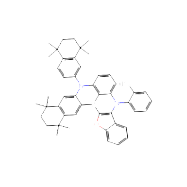 CC(C)(C)c1ccccc1N1c2cccc3c2B(c2cc4c(cc2N3c2ccc3c(c2)C(C)(C)CCC3(C)C)C(C)(C)CCC4(C)C)c2oc3ccccc3c21